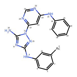 CC(=O)c1cccc(Nc2nc(N)n(-c3cc(Nc4ccccc4)ncn3)n2)c1